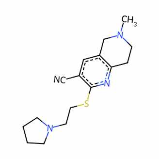 CN1CCc2nc(SCCN3CCCC3)c(C#N)cc2C1